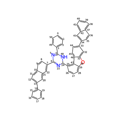 c1ccc(C2=NC(c3ccc4ccc(-c5ccccc5)cc4c3)=NC(c3cccc4oc5cc(-c6ccc7ccccc7c6)ccc5c34)N2)cc1